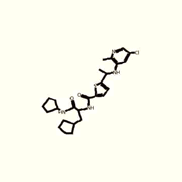 Cc1ncc(Cl)cc1NC(C)c1ccc(C(=O)NC(CC2CCCC2)C(=O)NC2CCCC2)s1